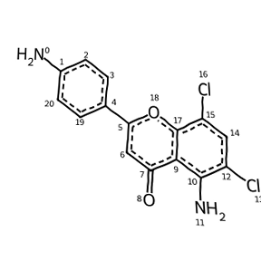 Nc1ccc(-c2cc(=O)c3c(N)c(Cl)cc(Cl)c3o2)cc1